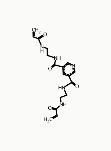 C=CC(=O)NCCNC(=O)c1cncc(C(=O)NCCNC(=O)C=C)c1